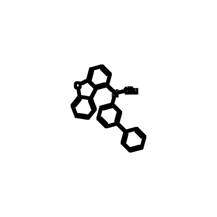 CC(C)(C)N(c1cccc(-c2ccccc2)c1)c1cccc2oc3ccccc3c12